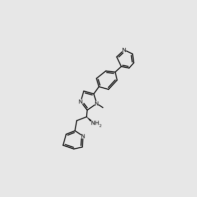 Cn1c(-c2ccc(-c3cccnc3)cc2)cnc1[C@@H](N)Cc1ccccn1